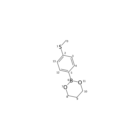 CSc1ccc(B2OCCCO2)cc1